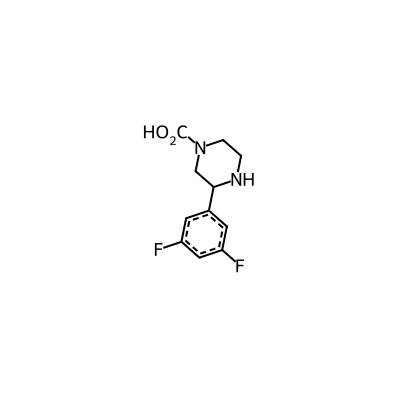 O=C(O)N1CCNC(c2cc(F)cc(F)c2)C1